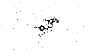 CC[C@@H](Sc1nc(N)nc2nc[nH]c12)C(=O)Nc1ccc(O)cc1OC